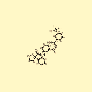 COc1cc(NC(=O)C2(c3ccccc3)CCCC2)ccc1NC(=O)c1cccc(C(F)(F)F)c1